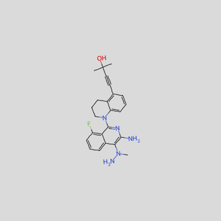 CN(N)c1c(N)nc(N2CCCc3c(C#CC(C)(C)O)cccc32)c2c(F)cccc12